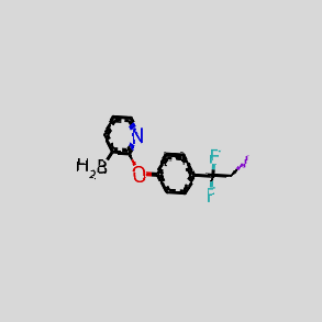 Bc1cccnc1Oc1ccc(C(F)(F)CI)cc1